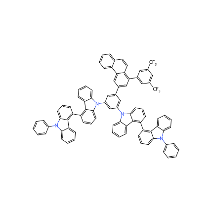 FC(F)(F)c1cc(-c2cc(-c3cc(-n4c5ccccc5c5c(-c6cccc7c6c6ccccc6n7-c6ccccc6)cccc54)cc(-n4c5ccccc5c5c(-c6cccc7c6c6ccccc6n7-c6ccccc6)cccc54)c3)cc3c2ccc2ccccc23)cc(C(F)(F)F)c1